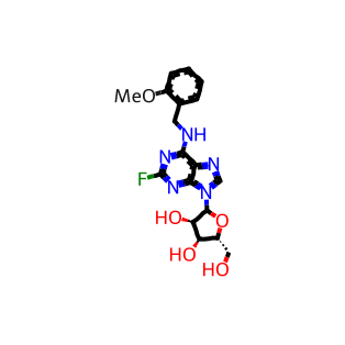 COc1ccccc1CNc1nc(F)nc2c1ncn2C1O[C@H](CO)[C@@H](O)[C@H]1O